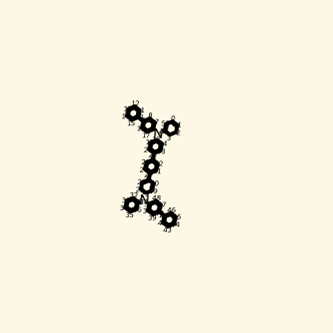 C1=CCCC(N(c2ccc(-c3ccccc3)cc2)c2ccc(-c3ccc(C4=CCC(N(c5ccccc5)c5ccc(-c6ccccc6)cc5)C=C4)cc3)cc2)=C1